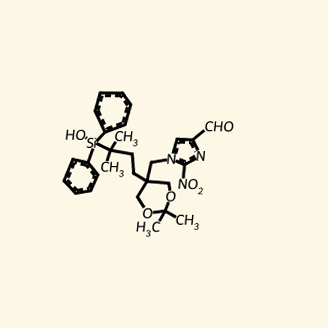 CC1(C)OCC(CCC(C)(C)[Si](O)(c2ccccc2)c2ccccc2)(Cn2cc(C=O)nc2[N+](=O)[O-])CO1